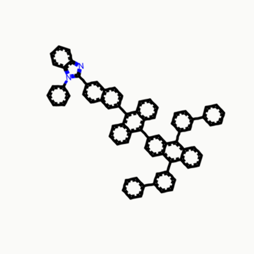 c1ccc(-c2cccc(-c3c4ccccc4c(-c4cccc(-c5ccccc5)c4)c4cc(-c5c6ccccc6c(-c6ccc7cc(-c8nc9ccccc9n8-c8ccccc8)ccc7c6)c6ccccc56)ccc34)c2)cc1